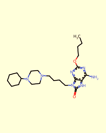 CCCCOc1nc(N)c2[nH]c(=O)n(CCCCN3CCN(C4CCCCC4)CC3)c2n1